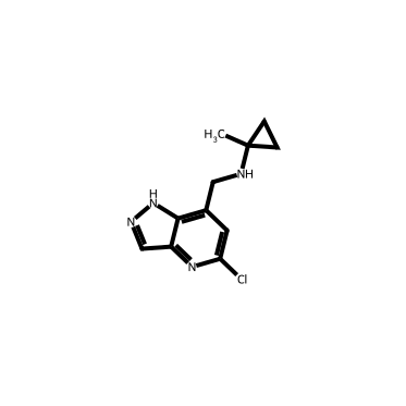 CC1(NCc2cc(Cl)nc3cn[nH]c23)CC1